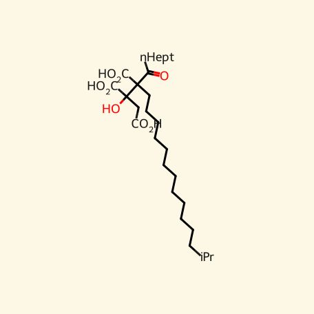 CCCCCCCC(=O)C(CCCCCCCCCCCCC(C)C)(C(=O)O)C(O)(CC(=O)O)C(=O)O